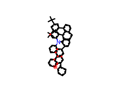 CC(C)(C)c1cc(-c2cccc3cccc(-c4ccccc4N(c4cccc(-c5ccc6c(c5)oc5ccccc56)c4)c4ccccc4-c4ccc(-c5ccccc5)cc4)c23)cc(C(C)(C)C)c1